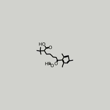 Cc1cc(C)c(C(=O)CCCCC(C(=O)O)C(C)(C)C)c(C)c1.O=P